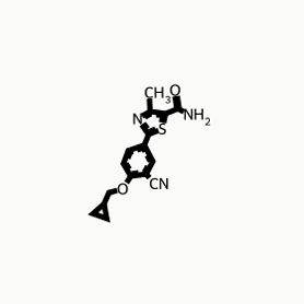 Cc1nc(-c2ccc(OCC3CC3)c(C#N)c2)sc1C(N)=O